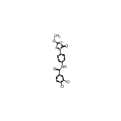 COc1nn(-c2ccc(NC(=O)c3ccc(Cl)c(Cl)c3)cc2)c(=O)o1